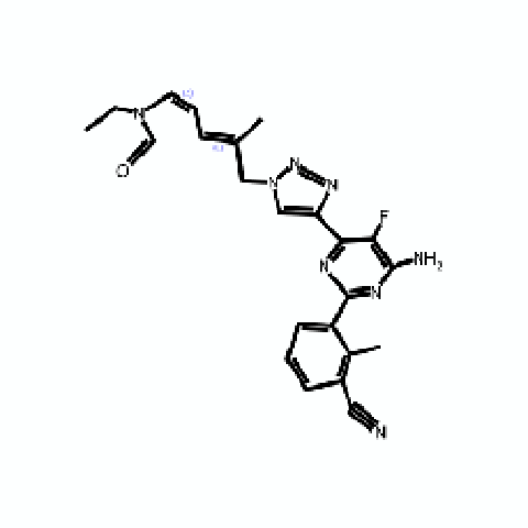 CCN(C=O)/C=C\C=C(/C)Cn1cc(-c2nc(-c3cccc(C#N)c3C)nc(N)c2F)nn1